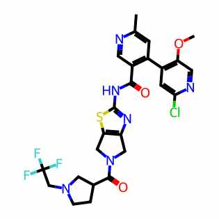 COc1cnc(Cl)cc1-c1cc(C)ncc1C(=O)Nc1nc2c(s1)CN(C(=O)C1CCN(CC(F)(F)F)C1)C2